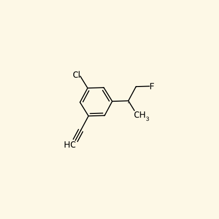 C#Cc1cc(Cl)cc([C](C)CF)c1